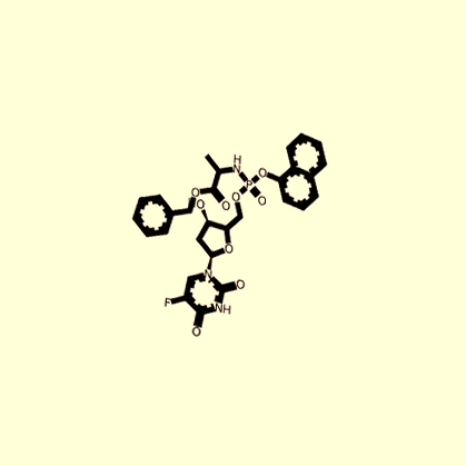 CC(NP(=O)(OCC1O[C@@H](n2cc(F)c(=O)[nH]c2=O)C[C@H]1O)Oc1cccc2ccccc12)C(=O)OCc1ccccc1